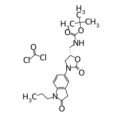 CCCN1C(=O)Cc2cc(N3C[C@H](CNC(=O)OC(C)(C)C)OC3=O)ccc21.O=C(Cl)Cl